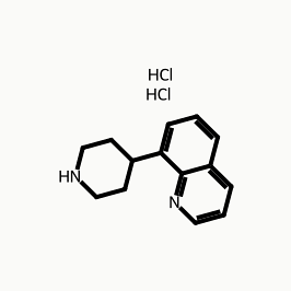 Cl.Cl.c1cnc2c(C3CCNCC3)cccc2c1